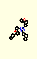 c1ccc2cc(-c3cccc4c3oc3cccc(-c5nc(-c6ccc7c(ccc8ccccc87)c6)nc(-c6ccc7ccc8oc9ccccc9c8c7c6)n5)c34)ccc2c1